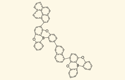 c1ccc2c(c1)Oc1ccc(-c3cccc4cc(-c5ccc6c(c5)B5c7ccccc7Oc7ccc(-c8ccc9ccc%10cccc%11ccc8c9c%10%11)c(c75)O6)ccc34)c3c1B2c1ccccc1O3